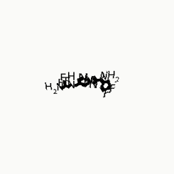 NCC(CNCc1cnn2cc([C@@H](N)C3CCC(F)(F)CC3)nc2c1)C(F)(F)F